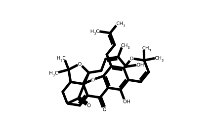 CC(C)=CCc1c2c(c(O)c3c1OC14C(=CC5CC1C(C)(C)OC4(CC=C(C)CO)C5=O)C3=O)C=CC(C)(C)O2